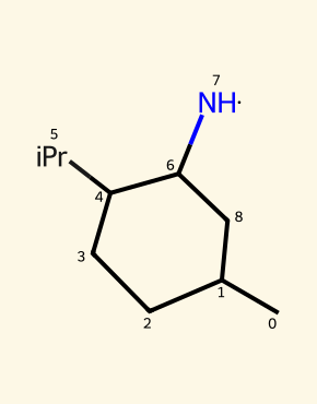 CC1CCC(C(C)C)C([NH])C1